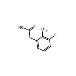 Cc1c(Cl)cccc1CC(=O)O